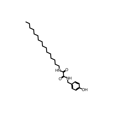 CCCCCCCCCCCCCCCCNC(=O)C(=O)NCc1ccc(O)cc1